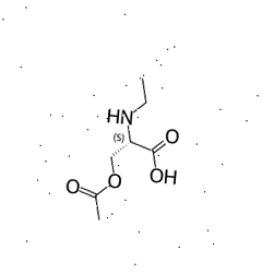 CCN[C@@H](COC(C)=O)C(=O)O